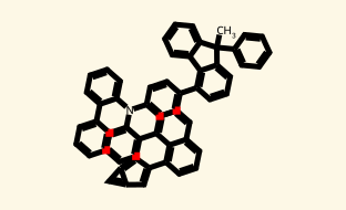 CC1(c2ccccc2)c2ccccc2-c2c(-c3ccc(N(c4ccccc4-c4ccccc4)c4ccccc4-c4cccc5cccc(-c6cc7cc-7c6)c45)cc3)cccc21